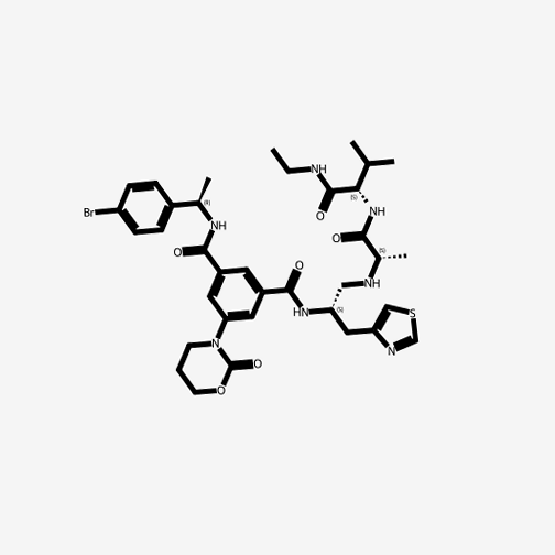 CCNC(=O)[C@@H](NC(=O)[C@H](C)NC[C@H](Cc1cscn1)NC(=O)c1cc(C(=O)N[C@H](C)c2ccc(Br)cc2)cc(N2CCCOC2=O)c1)C(C)C